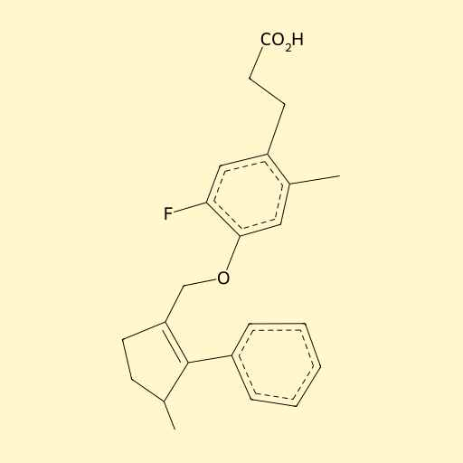 Cc1cc(OCC2=C(c3ccccc3)C(C)CC2)c(F)cc1CCC(=O)O